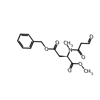 COC(=O)[C@@H](CC(=O)OCc1ccccc1)N(C)C(=O)CC=O